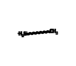 CCCCCCCCCCCCCC[SiH2]